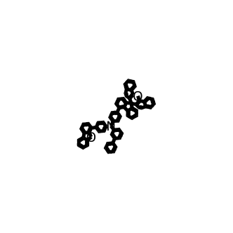 c1ccc(-c2cccc(N(c3ccc(-c4cccc5c4-c4ccccc4C54c5ccc6ccccc6c5Oc5c4ccc4ccccc54)cc3)c3ccc(-c4cccc5c4oc4ccccc45)cc3)c2)cc1